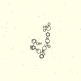 CC1(C(=O)N2CCN(c3ccc([C@H]4CCC(=O)NC4=O)cc3)CC2)CCN(C(=O)C2(c3ccccc3)CCN(c3cnnc(-c4ccccc4O)c3)CC2)CC1